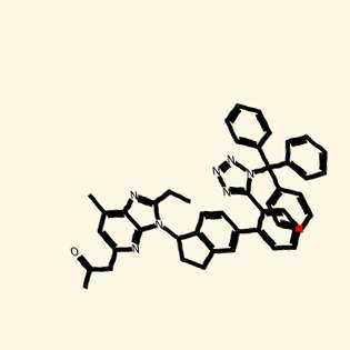 CCc1nc2c(C)cc(CC(C)=O)nc2n1C1CCc2cc(-c3ccccc3-c3nnnn3C(c3ccccc3)(c3ccccc3)c3ccccc3)ccc21